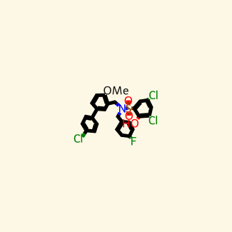 COc1ccc(-c2ccc(Cl)cc2)cc1CN(CC1=CCC(F)C=C1)S(=O)(=O)c1cc(Cl)cc(Cl)c1O